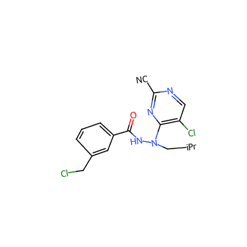 CC(C)CN(NC(=O)c1cccc(CCl)c1)c1nc(C#N)ncc1Cl